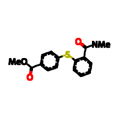 CNC(=O)c1ccccc1Sc1ccc(C(=O)OC)cc1